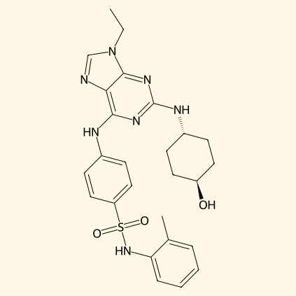 CCn1cnc2c(Nc3ccc(S(=O)(=O)Nc4ccccc4C)cc3)nc(N[C@H]3CC[C@H](O)CC3)nc21